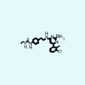 CCNC(=S)Nc1ccc(CCNc2cc(-c3cccc(Cl)c3C)nc(N)n2)cc1